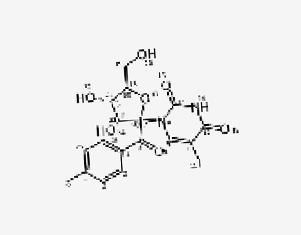 Cc1ccc(C(=O)[C@@]2(n3cc(I)c(=O)[nH]c3=O)O[C@H](CO)[C@@H](O)[C@H]2O)cc1